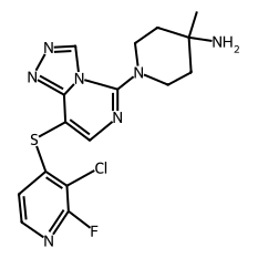 CC1(N)CCN(c2ncc(Sc3ccnc(F)c3Cl)c3nncn23)CC1